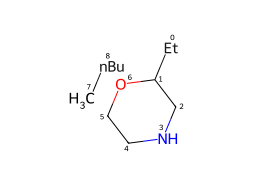 CCC1CNCCO1.CCCCC